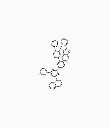 c1ccc(-c2cc(-c3cccc4ccccc34)nc(-c3cccc(-c4ccc5c(c4)C4(c6ccccc6-5)c5ccccc5-c5oc6ccccc6c54)c3)n2)cc1